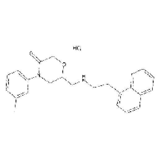 Cc1cccc(N2CC(CNCCc3cccc4ccccc34)OCC2=O)c1.Cl